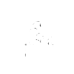 Cc1ccc(-c2cc(C(N)=O)nc3c2CC[C@@H]([C@H](C)OC(F)F)O3)c(F)c1